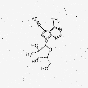 C#Cc1cn(C2O[C@H](CO)[C@@H](O)C2(C)O)c2ncnc(N)c12